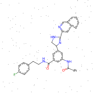 CC(C)C(=O)Nc1cc(C(=O)NCCc2ccc(F)cc2)cc(C2CNC(c3cc4ccccc4cn3)=N2)c1